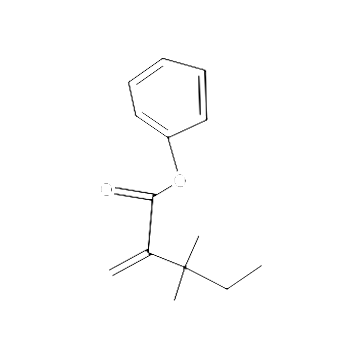 C=C(C(=O)Oc1ccccc1)C(C)(C)CC